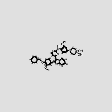 COc1cc(N2CCS(O)(O)CC2)ccc1Nc1nccc(-c2c(-c3ccc(OCc4ccccc4)c(OC)c3)nc3ccccn23)n1